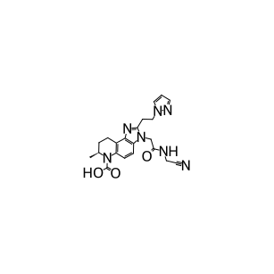 C[C@H]1CCc2c(ccc3c2nc(CCn2cccn2)n3CC(=O)NCC#N)N1C(=O)O